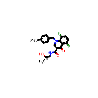 COc1ccc(Cn2cc(C(=O)NC[C@H](C)O)c(=O)c3c(F)ccc(F)c32)cc1